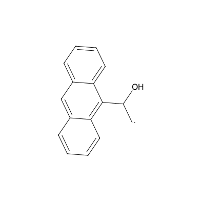 [CH2]C(O)c1c2ccccc2cc2ccccc12